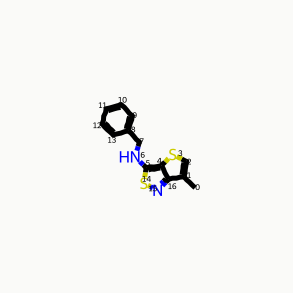 Cc1csc2c(NCc3ccccc3)snc12